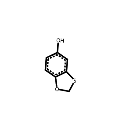 Oc1ccc2c(c1)SCO2